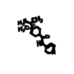 C[C@@H](N)C1(C)CCC(C(=O)Nc2ccncc2)CC1